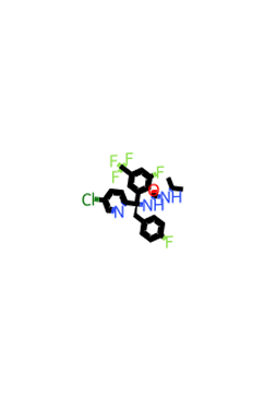 CC(C)NC(=O)N[C@@](Cc1ccc(F)cc1)(c1cc(F)cc(C(F)(F)F)c1)c1ccc(Cl)cn1